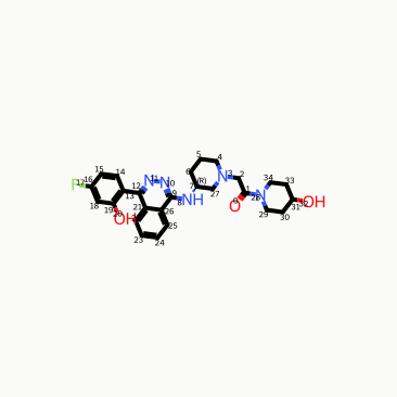 O=C(CN1CCC[C@@H](Nc2nnc(-c3ccc(F)cc3O)c3ccccc23)C1)N1CCC(O)CC1